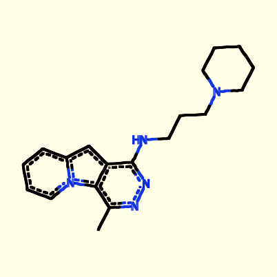 Cc1nnc(NCCCN2CCCCC2)c2cc3ccccn3c12